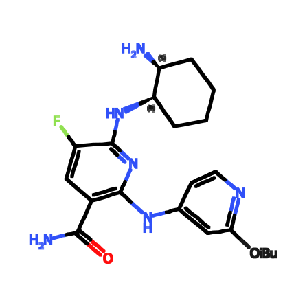 CC(C)COc1cc(Nc2nc(N[C@@H]3CCCC[C@@H]3N)c(F)cc2C(N)=O)ccn1